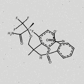 CC(CO[C@](C)(C(N)=O)C(F)(F)F)(NS(=O)(=O)c1ccccc1[N+](=O)[O-])c1nc(Br)ccc1F